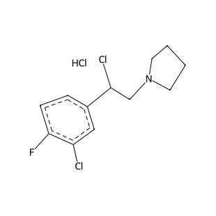 Cl.Fc1ccc(C(Cl)CN2CCCC2)cc1Cl